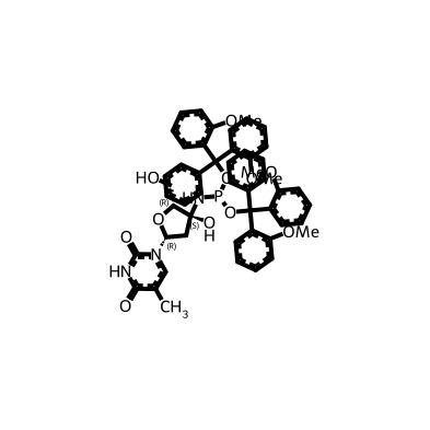 COc1ccccc1C(OP(N[C@]1(O)C[C@H](n2cc(C)c(=O)[nH]c2=O)O[C@@H]1CO)OC(c1ccccc1)(c1ccccc1OC)c1ccccc1OC)(c1ccccc1)c1ccccc1OC